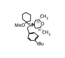 COC1([SiH](Cc2ccc(C(C)(C)C)cc2)N2C[C@@H](C)O[C@@H](C)C2)CCCCC1